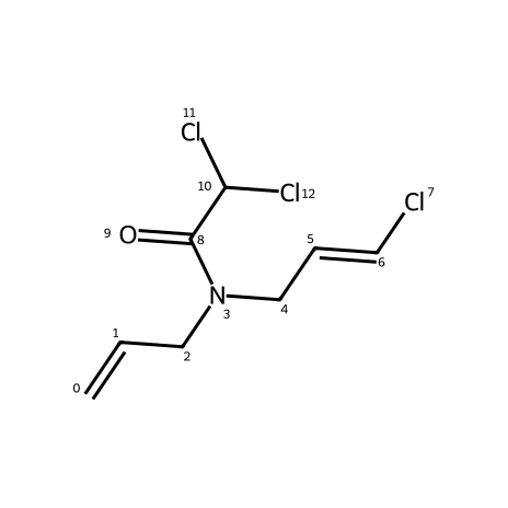 C=CCN(CC=CCl)C(=O)C(Cl)Cl